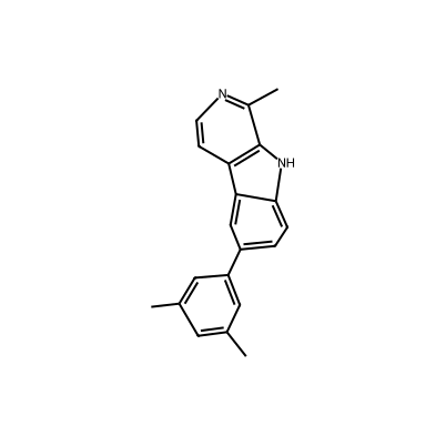 Cc1cc(C)cc(-c2ccc3[nH]c4c(C)nccc4c3c2)c1